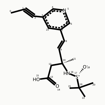 CC#Cc1cncc(C=C[C@](C)(CC(=O)O)N[S@+]([O-])C(C)(C)C)c1